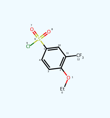 CCOc1ccc(S(=O)(=O)Cl)cc1C(F)(F)F